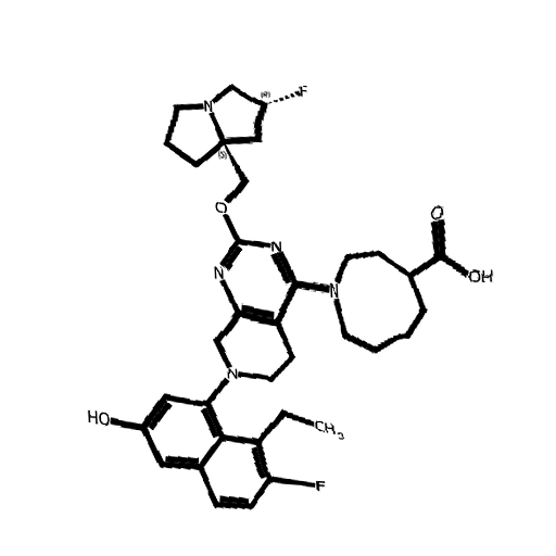 CCc1c(F)ccc2cc(O)cc(N3CCc4c(nc(OC[C@@]56CCCN5C[C@H](F)C6)nc4N4CCCCC(C(=O)O)CC4)C3)c12